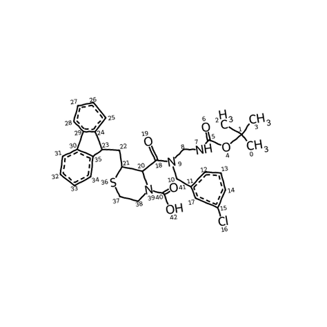 CC(C)(C)OC(=O)NCN(Cc1cccc(Cl)c1)C(=O)C1C(CC2c3ccccc3-c3ccccc32)SCCN1C(=O)O